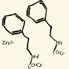 O=C([O-])NCCc1ccccc1.O=C([O-])NCCc1ccccc1.[Zn+2]